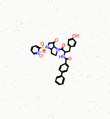 O=C(NC(Cc1ccc(O)cc1)C(=O)N1CCC2C1C(=O)CN2S(=O)(=O)c1cccc[n+]1[O-])c1ccc(-c2ccccc2)cc1